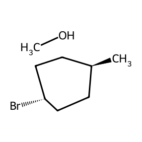 CO.C[C@H]1CC[C@H](Br)CC1